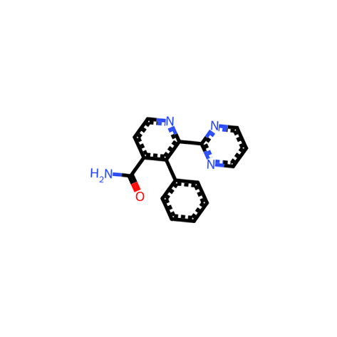 NC(=O)c1ccnc(-c2ncccn2)c1-c1ccccc1